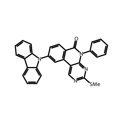 CSc1ncc2c3cc(-n4c5ccccc5c5ccccc54)ccc3c(=O)n(-c3ccccc3)c2n1